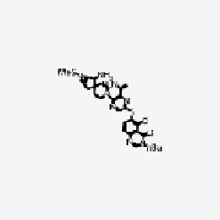 C=C(N)c1nc(Sc2ccc3ncn(CCCC)c(=O)c3c2Cl)cnc1N1CCC2(CC1)CC1=C(C2N)N1SC